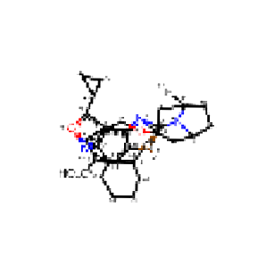 O=C(O)c1ccc2nc(N3C4CC[C@H]3CC(OCc3c(C5CCCCC5C(F)(F)F)noc3C3CC3)C4)sc2c1